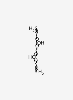 C=COCCCCOCC(O)COCCCCOCC(O)COCCCCOC=C